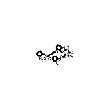 CC(C)OC(=O)NC1=Nc2cccc(OCCCC(=O)N(C)Cc3ccccc3)c2CN1CC(=O)OOc1ccccc1Cl